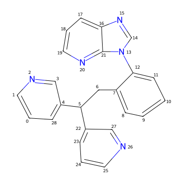 c1cncc(C(Cc2ccccc2-n2cnc3cccnc32)c2cccnc2)c1